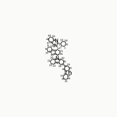 c1ccc(-c2nc(-c3cccc4c3-c3cccc(-n5c6ccccc6c6cc(-c7ccc8oc9ccccc9c8c7)ccc65)c3C4)c3ccccc3n2)cc1